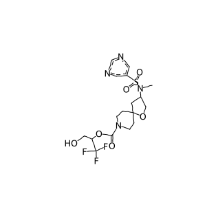 CN(C1COC2(CCN(C(=O)OC(CO)C(F)(F)F)CC2)C1)S(=O)(=O)c1cncnc1